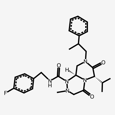 CC(CN1C[C@H]2N(C(=O)CN(C)N2C(=O)NCc2ccc(F)cc2)[C@@H](C(C)C)C1=O)c1ccccc1